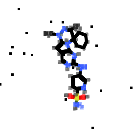 CN1N=C(C(F)(F)F)C2(CCCCC2)n2c1cc1cnc(Nc3ccc(S(N)(=O)=O)nc3)nc12